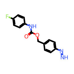 N=Nc1ccc(COC(=O)Nc2ccc(F)cc2)cc1